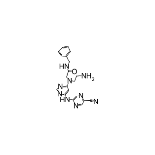 N#Cc1cnc(Nc2cc(N(CCN)CC(=O)NCc3ccccc3)ncn2)cn1